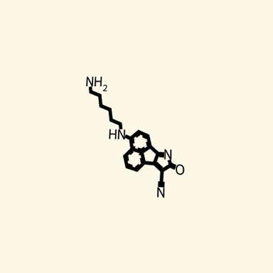 N#CC1=C2C(=NC1=O)c1ccc(NCCCCCCN)c3cccc2c13